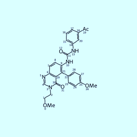 COCCn1cnc2ccc(NC(=O)Nc3cccc(C(C)=O)c3)c(-c3ccc(OC)cc3)c2c1=O